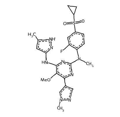 COc1c(Nc2cc(C)[nH]n2)nc(N(C)c2ccc(S(=O)(=O)C3CC3)cc2F)nc1-c1cnn(C)c1